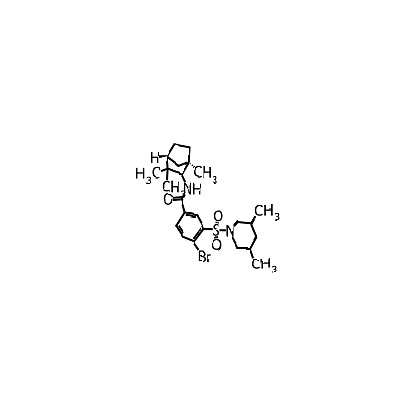 CC1CC(C)CN(S(=O)(=O)c2cc(C(=O)NC3C(C)(C)[C@@H]4CC[C@]3(C)C4)ccc2Br)C1